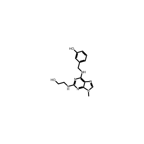 Cn1cnc2c(NCc3cccc(O)c3)nc(NCCO)nc21